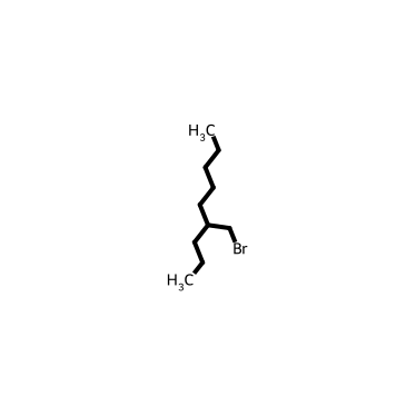 CCCCCC(CBr)CCC